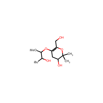 CCC(C)C(O)C(OC)OC1=C(CO)OC(C)(C)C(O)C1